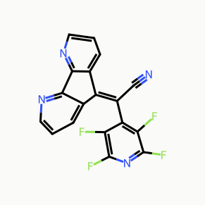 N#CC(=C1c2cccnc2-c2ncccc21)c1c(F)c(F)nc(F)c1F